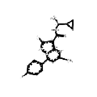 Cc1cc(-c2ccc(F)cc2)n2nc(Cl)c(C(=O)N[C@@H](C)C3CC3)c2n1